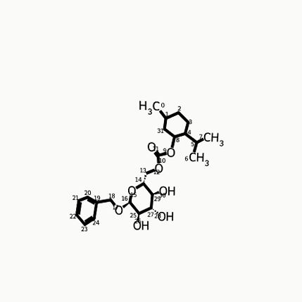 CC1CCC(C(C)C)C(OC(=O)OC[C@H]2O[C@H](OCc3ccccc3)[C@H](O)[C@@H](O)[C@@H]2O)C1